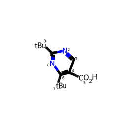 CC(C)(C)c1ncc(C(=O)O)c(C(C)(C)C)n1